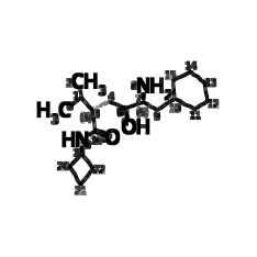 CC(C)[C@H](C[C@H](O)[C@@H](N)CC1CCCCC1)C(=O)NC1CCC1